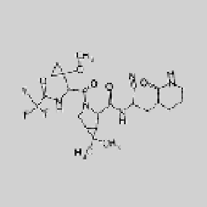 COC1(C(NC(=O)C(F)(F)F)C(=O)N2CC3C(C2C(=O)NC(C#N)CC2CCCNC2=O)C3(C)C)CC1